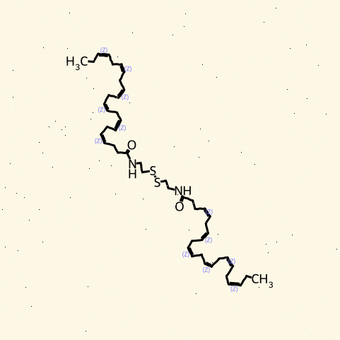 CC/C=C\C/C=C\C/C=C\C/C=C\C/C=C\C/C=C\CCC(=O)NCCSSCCNC(=O)CC/C=C\C/C=C\C/C=C\C/C=C\C/C=C\C/C=C\CC